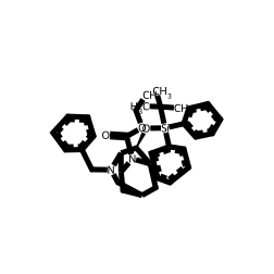 CCOC(=O)N1C2CC3CC1[C@H](O[Si](c1ccccc1)(c1ccccc1)C(C)(C)C)C2N(Cc1ccccc1)C3